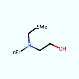 CCCN(CCO)CSC